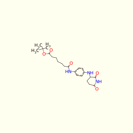 CC(C)(C)OC(=O)CCCCCC(=O)Nc1ccc(NC2CCC(=O)NC2=O)cc1